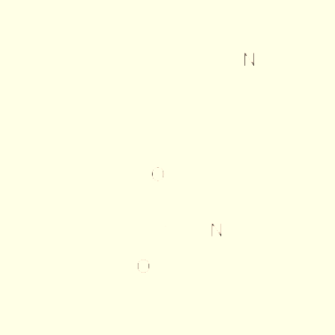 COC(=O)N(C)Cc1cccnc1